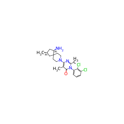 Cc1c(N2CCC3(CC2)C[C@@H](C)C[C@H]3N)nc(C)n(-c2cccc(Cl)c2Cl)c1=O